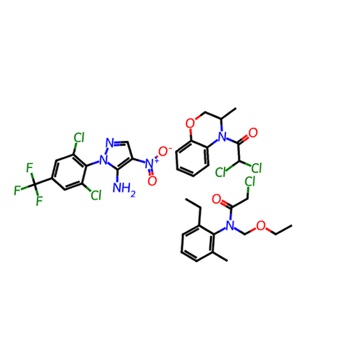 CC1COc2ccccc2N1C(=O)C(Cl)Cl.CCOCN(C(=O)CCl)c1c(C)cccc1CC.Nc1c([N+](=O)[O-])cnn1-c1c(Cl)cc(C(F)(F)F)cc1Cl